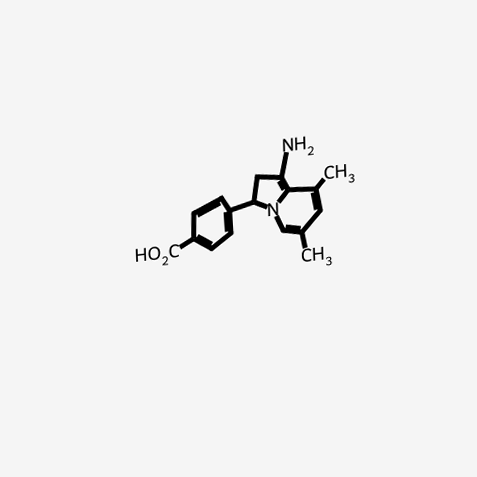 CC1=CN2C(=C(N)CC2c2ccc(C(=O)O)cc2)C(C)=C1